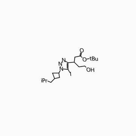 CC(C)CC1CC(n2nnc(C(CCO)CC(=O)OC(C)(C)C)c2I)C1